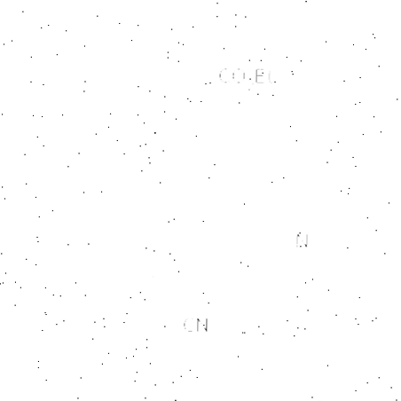 CCOC(=O)C(=Cc1cccc(C#N)c1)c1ccncc1